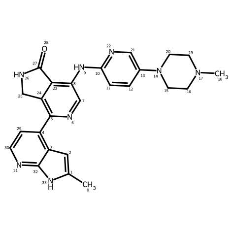 Cc1cc2c(-c3ncc(Nc4ccc(N5CCN(C)CC5)cn4)c4c3CNC4=O)ccnc2[nH]1